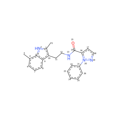 Cc1[nH]c2c(C)cccc2c1CCNC(=O)c1ccnn1-c1ccccc1